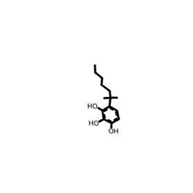 CCCCCC(C)(C)c1ccc(O)c(O)c1O